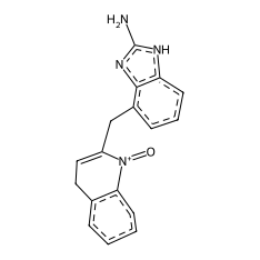 Nc1nc2c(CC3=CCc4ccccc4[N+]3=O)cccc2[nH]1